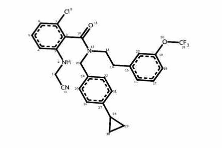 N#CCNc1cccc(Cl)c1C(=O)N(CCc1cccc(OC(F)(F)F)c1)Cc1ccc(C2CC2)cc1